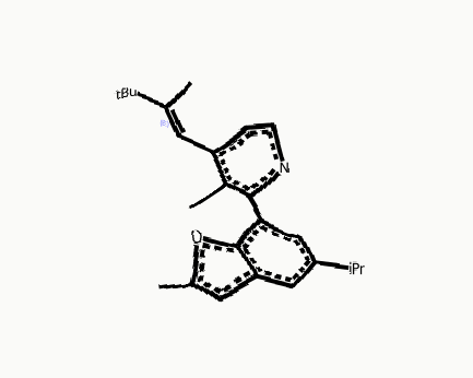 C/C(=C\c1ccnc(-c2cc(C(C)C)cc3cc(C)oc23)c1C)C(C)(C)C